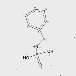 O=P(O)(O)NSc1ccccc1